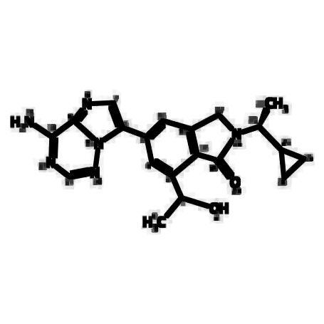 CC(O)c1cc(-c2cnc3c(N)ncnn23)cc2c1C(=O)N([C@@H](C)C1CC1)C2